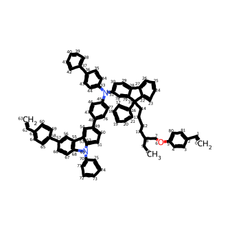 C=Cc1ccc(OCC(CC)CCCCC2(c3ccccc3)c3ccccc3-c3ccc(N(c4ccc(-c5ccccc5)cc4)c4ccc(-c5ccc6c(c5)c5cc(-c7ccc(C=C)cc7)ccc5n6-c5ccccc5)cc4)cc32)cc1